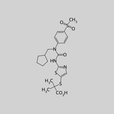 CC(C)(Sc1cnc(NC(=O)N(CC2CCCC2)c2ccc(S(C)(=O)=O)cc2)s1)C(=O)O